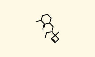 CCN(CC1CCCC(C)C1=O)C1(C)C=CC1